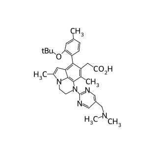 Cc1ccc(-c2c(CC(=O)O)c(C)c3c4c2cc(C)n4CCN3c2ncc(CN(C)C)cn2)c(OC(C)(C)C)c1